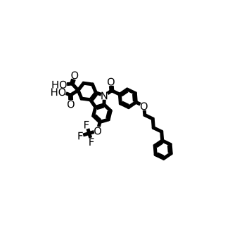 O=C(c1ccc(OCCCCc2ccccc2)cc1)n1c2c(c3cc(OC(F)(F)F)ccc31)CC(C(=O)O)(C(=O)O)CC2